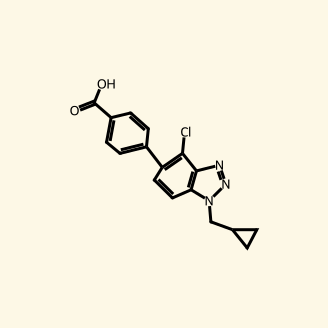 O=C(O)c1ccc(-c2ccc3c(nnn3CC3CC3)c2Cl)cc1